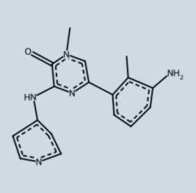 Cc1c(N)cccc1-c1cn(C)c(=O)c(Nc2ccncc2)n1